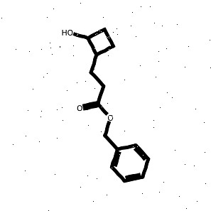 O=C(CCC1CCC1O)OCc1ccccc1